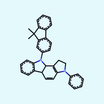 CC1(C)c2ccccc2-c2ccc(N3c4ccccc4C4C=CC5=C(CCN5c5ccccc5)C43)cc21